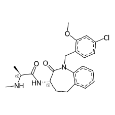 CN[C@@H](C)C(=O)N[C@H]1CCc2ccccc2N(Cc2ccc(Cl)cc2OC)C1=O